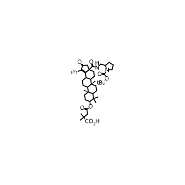 CC(C)C1=C2C3CCC4[C@@](C)(CCC5C(C)(C)[C@@H](OC(=O)CC(C)(C)C(=O)O)CC[C@@]54C)C3CCC2(C(=O)NCC2CCCN2C(=O)OC(C)(C)C)CC1=O